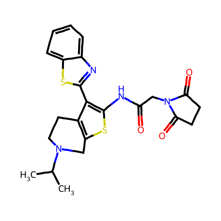 CC(C)N1CCc2c(sc(NC(=O)CN3C(=O)CCC3=O)c2-c2nc3ccccc3s2)C1